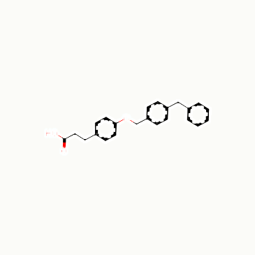 O=C(O)CCc1ccc(OCc2ccc(Cc3ccccc3)cc2)cc1